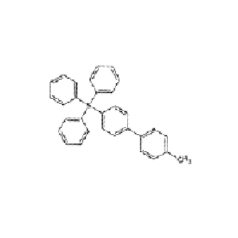 Cc1ccc(-c2ccc(S(c3ccccc3)(c3ccccc3)c3ccccc3)cc2)cc1